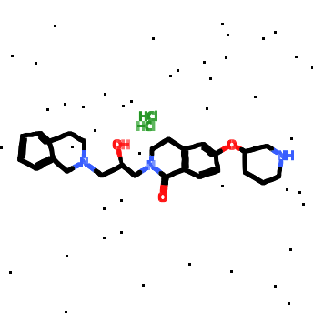 Cl.Cl.O=C1c2ccc(OC3CCCNC3)cc2CCN1C[C@H](O)CN1CCc2ccccc2C1